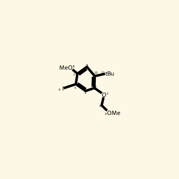 COCOc1cc(I)c(OC)cc1C(C)(C)C